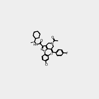 CC(=O)N1C/C(=C\c2ccc(F)cc2)c2c(c(C(=O)N[C@@H](C)C3CCCCC3)nn2-c2ccc(Cl)cc2Cl)C1